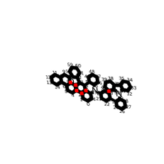 c1cc(-c2ccc3c(ccc4ccccc43)c2)cc(N(c2ccc(-c3ccccc3-n3c4ccccc4c4ccccc43)cc2)c2ccccc2-c2cccc3oc4ccccc4c23)c1